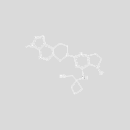 Cn1ncc2c3c(cnc21)CN(c1nc2c(c(NC4(CO)CCC4)n1)[S@+]([O-])CC2)CC3